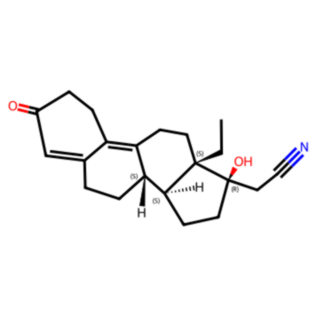 CC[C@]12CCC3=C4CCC(=O)C=C4CC[C@H]3[C@@H]1CC[C@@]2(O)CC#N